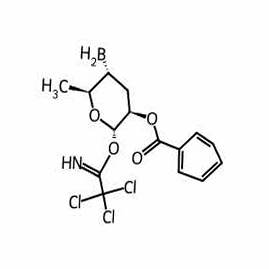 B[C@@H]1C[C@@H](OC(=O)c2ccccc2)[C@H](OC(=N)C(Cl)(Cl)Cl)O[C@H]1C